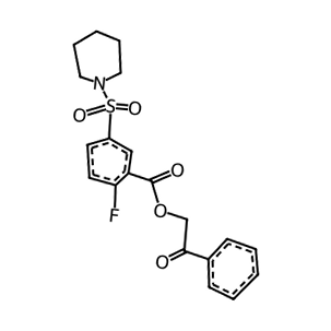 O=C(COC(=O)c1cc(S(=O)(=O)N2CCCCC2)ccc1F)c1ccccc1